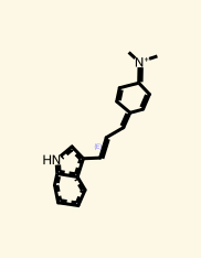 C[N+](C)=C1C=CC(=C/C=C/c2c[nH]c3ccccc23)C=C1